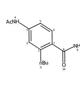 CCCCc1cc(NC(C)=O)ccc1C(N)=O